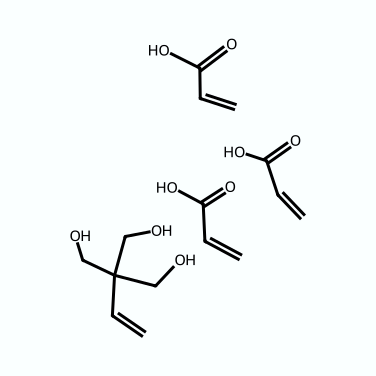 C=CC(=O)O.C=CC(=O)O.C=CC(=O)O.C=CC(CO)(CO)CO